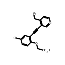 CC(C)Cc1ccncc1C#Cc1cc(Cl)ccc1OCC(=O)O